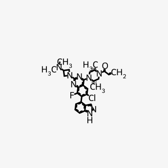 C=CC(=O)N1C[C@H](C)N(c2nc(N3CC(N(C)C)C3)nc3c(F)c(-c4cccc5[nH]ncc45)c(Cl)cc23)C[C@H]1C